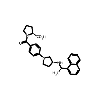 C[C@@H](N[C@H]1CCN(c2ccc(C(=O)N3CCC[C@H]3C(=O)O)cc2)C1)c1cccc2ccccc12